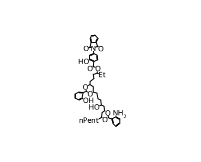 CCCCCC1CC(CC(O)CCCC2CC(CCCC(CC)OC(=O)c3ccc(N4C(=O)c5ccccc5C4=O)cc3O)OC(c3ccccc3O)O2)OC(c2ccccc2N)O1